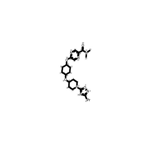 CC(C)c1noc(N2CCC(OC3CCC(Oc4cnc(C(=O)N(C)C)cn4)CC3)CC2)n1